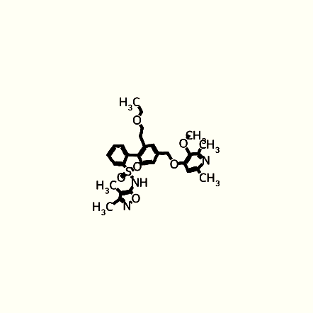 CCOCCc1cc(COc2cc(C)nc(C)c2OC)ccc1-c1ccccc1S(=O)(=O)Nc1onc(C)c1C